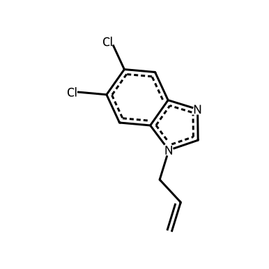 C=CCn1cnc2cc(Cl)c(Cl)cc21